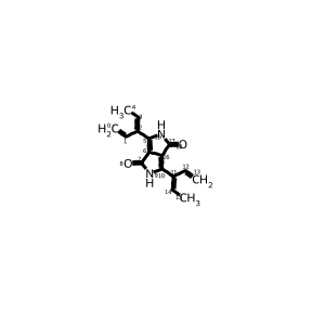 C=C/C(=C\C)C1=C2C(=O)NC(/C(C=C)=C/C)=C2C(=O)N1